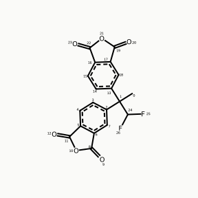 CC(c1ccc2c(c1)C(=O)OC2=O)(c1ccc2c(c1)C(=O)OC2=O)C(F)F